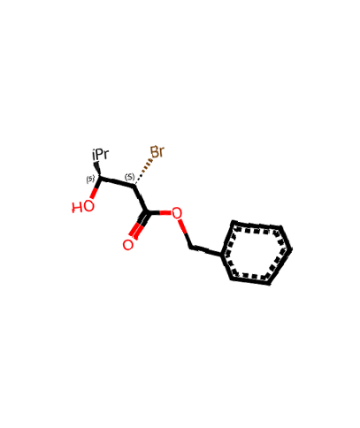 CC(C)[C@H](O)[C@H](Br)C(=O)OCc1ccccc1